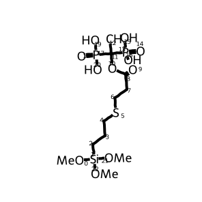 CO[Si](CCCSCCC(=O)OC(C)(P(=O)(O)O)P(=O)(O)O)(OC)OC